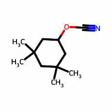 CC1(C)CC(OC#N)CC(C)(C)C1